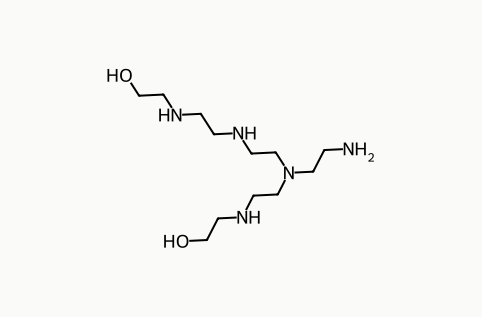 NCCN(CCNCCO)CCNCCNCCO